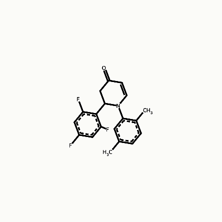 Cc1ccc(C)c(N2C=CC(=O)CC2c2c(F)cc(F)cc2F)c1